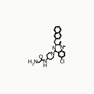 C=C1C(Cc2ccc3ccccc3c2)N=C(N2CCC(NC(=O)CN)CC2)c2cc(Cl)ccc2N1C